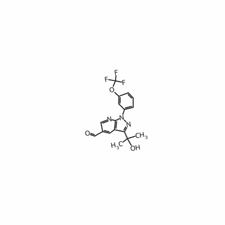 CC(C)(O)c1nn(-c2cccc(OC(F)(F)F)c2)c2ncc(C=O)cc12